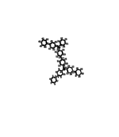 C1=C(c2ccccc2)CCC(N(C2=CCC(C3=CCCCC3)CC2)c2ccc(-c3ccc(N(c4ccccc4)c4ccc(-c5ccccc5)cc4)cc3)cc2)C1